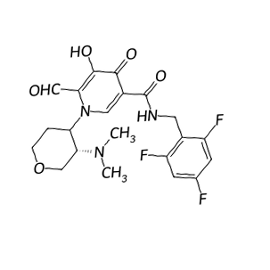 CN(C)[C@@H]1COCCC1n1cc(C(=O)NCc2c(F)cc(F)cc2F)c(=O)c(O)c1C=O